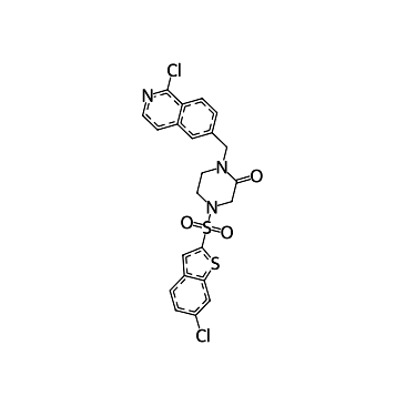 O=C1CN(S(=O)(=O)c2cc3ccc(Cl)cc3s2)CCN1Cc1ccc2c(Cl)nccc2c1